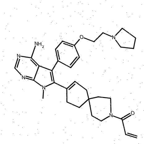 C=CC(=O)N1CCC2(CC=C(c3c(-c4ccc(OCCN5CCCC5)cc4)c4c(N)ncnc4n3C)CC2)CC1